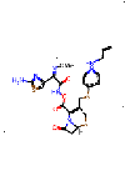 C=CCN[n+]1ccc(SCC2=C(C(=O)ONC(=O)/C(=N\OC)c3csc(N)n3)N3C(=O)C[C@@H]3SC2)cc1